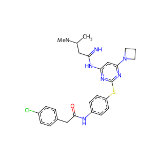 CNC(C)CC(=N)Nc1cc(N2CCC2)nc(Sc2ccc(NC(=O)Cc3ccc(Cl)cc3)cc2)n1